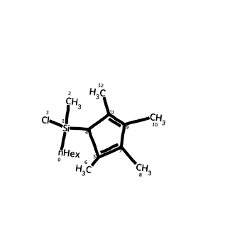 CCCCCC[Si](C)(Cl)C1C(C)=C(C)C(C)=C1C